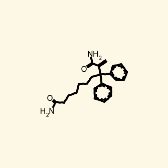 C=C(C(N)=O)C(CCCCCCC(N)=O)(c1ccccc1)c1ccccc1